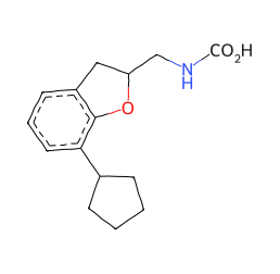 O=C(O)NCC1Cc2cccc(C3CCCC3)c2O1